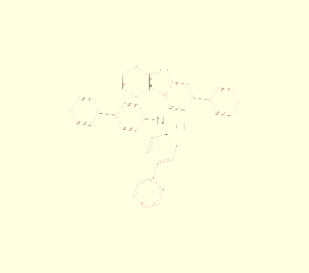 CC1(N(c2ccc(-c3ccccc3)cc2)c2cc(-c3ccccc3)cc3oc4ccccc4c23)C=CC(c2ccccc2)=CC1